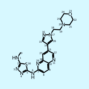 CNc1nnc(Nc2ccc3ncc(-c4cnn(CCN5CCOCC5)c4)cc3n2)s1